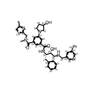 Cc1csc(CN(C)C(=O)c2cc(C(=O)N[C@@H](Cc3ccccc3)[C@H](O)CNCc3cncc(C(C)C)c3)cc(N3CCC(O)C3)c2)n1